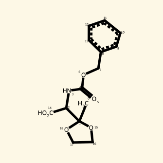 CC1(C(NC(=O)OCc2ccccc2)C(=O)O)OCCO1